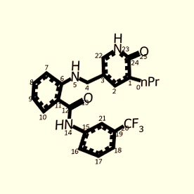 CCCc1cc(CNc2ccccc2C(=O)Nc2cccc(C(F)(F)F)c2)c[nH]c1=O